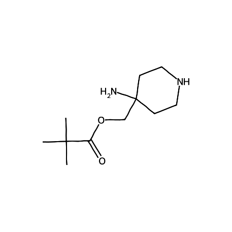 CC(C)(C)C(=O)OCC1(N)CCNCC1